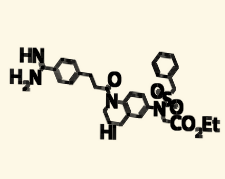 CCOC(=O)CN(c1ccc2c(c1)CCCN2C(=O)CCc1ccc(C(=N)N)cc1)S(=O)(=O)Cc1ccccc1.I